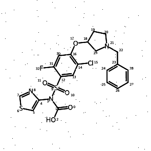 O=C(O)N(c1cscn1)S(=O)(=O)c1cc(Cl)c(OC2CCN(Cc3ccccc3)C2)cc1F